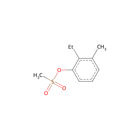 CCc1c(C)cccc1OS(C)(=O)=O